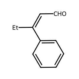 CC/C(=C/C=O)c1ccccc1